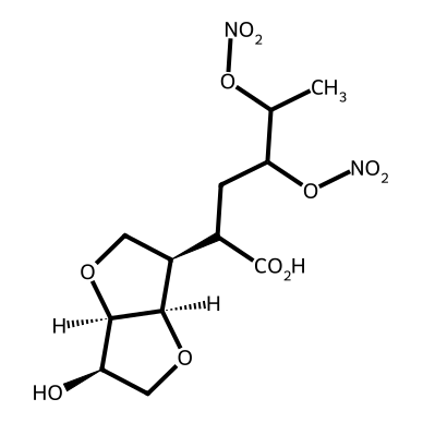 CC(O[N+](=O)[O-])C(CC(C(=O)O)[C@@H]1CO[C@H]2[C@@H]1OC[C@H]2O)O[N+](=O)[O-]